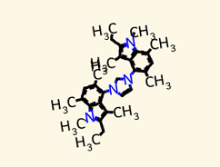 CCc1c(C)c2c(N3C=CN(c4c(C)cc(C)c5c4c(C)c(CC)n5C)C3)c(C)cc(C)c2n1C